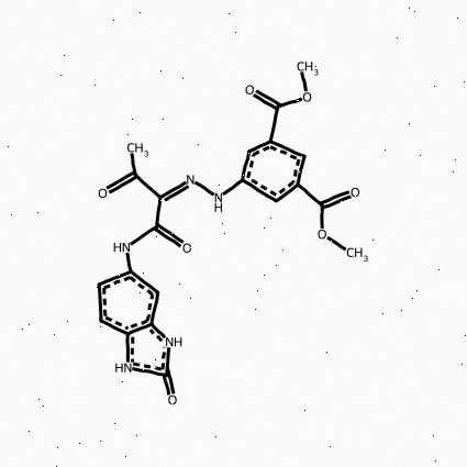 COC(=O)c1cc(N/N=C(/C(C)=O)C(=O)Nc2ccc3[nH]c(=O)[nH]c3c2)cc(C(=O)OC)c1